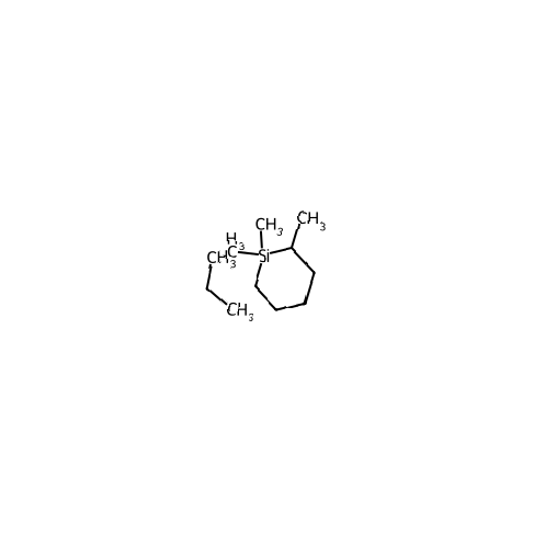 CC1CCCC[Si]1(C)C.CCC